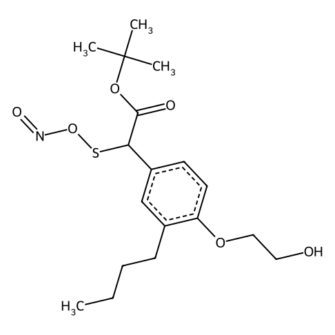 CCCCc1cc(C(SON=O)C(=O)OC(C)(C)C)ccc1OCCO